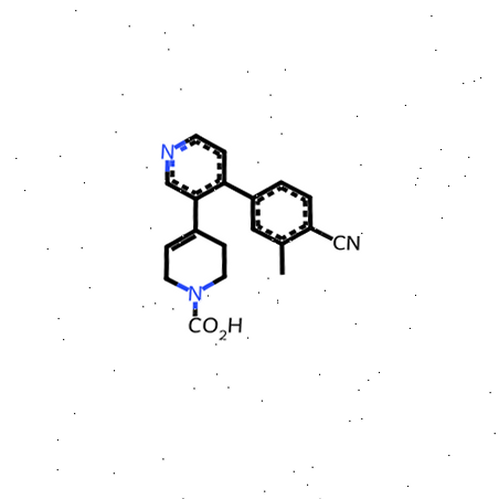 Cc1cc(-c2ccncc2C2=CCN(C(=O)O)CC2)ccc1C#N